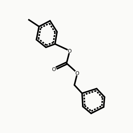 Cc1ccc(OC(=O)OCc2ccccc2)cc1